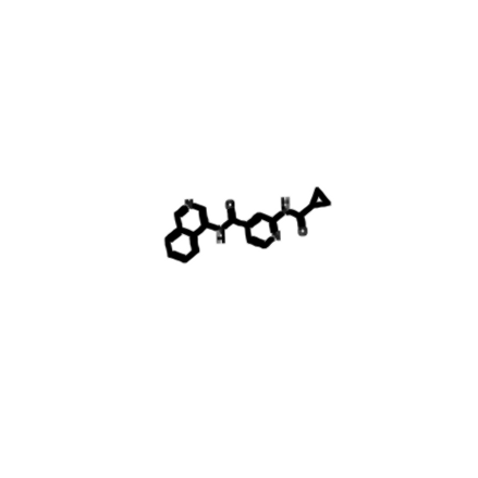 O=C(Nc1cncc2ccccc12)c1ccnc(NC(=O)C2CC2)c1